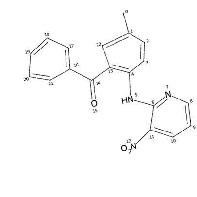 Cc1ccc(Nc2ncccc2[N+](=O)[O-])c(C(=O)c2ccccc2)c1